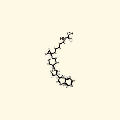 O=C(O)NCCCCCC1(N2CCC(n3cc(-c4cnc5ccccc5n4)cn3)CC2)CC1